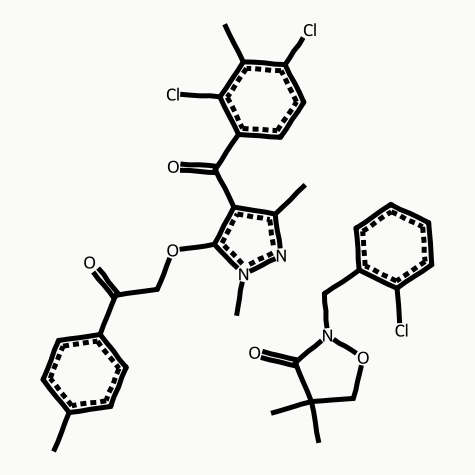 CC1(C)CON(Cc2ccccc2Cl)C1=O.Cc1ccc(C(=O)COc2c(C(=O)c3ccc(Cl)c(C)c3Cl)c(C)nn2C)cc1